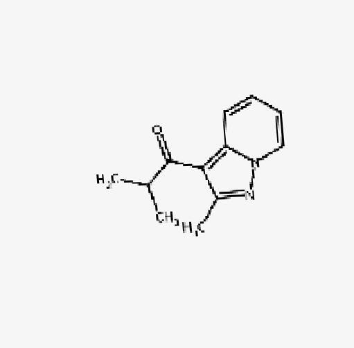 Cc1nn2ccccc2c1C(=O)C(C)C